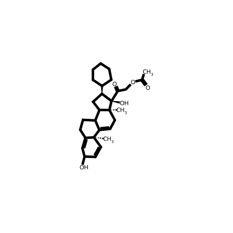 CC(=O)OCC(=O)[C@@]1(O)[C@H](C2CCCCC2)CC2C3CCC4=CC(O)C=C[C@]4(C)C3=CC[C@@]21C